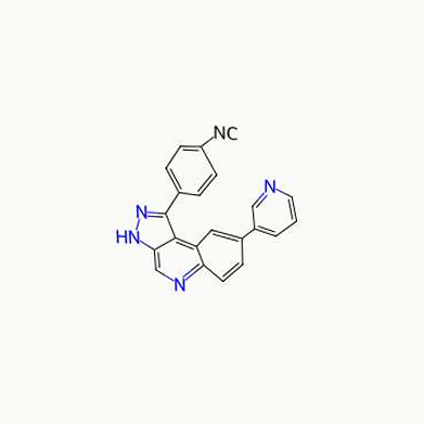 [C-]#[N+]c1ccc(-c2n[nH]c3cnc4ccc(-c5cccnc5)cc4c23)cc1